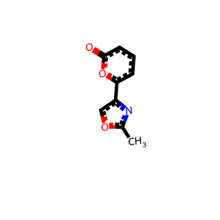 Cc1nc(-c2cccc(=O)o2)co1